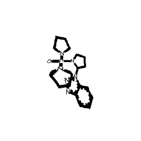 O=P(N1CCCC1)(N1CCCC1)N1CCCC1n1nnc2ccccc21